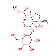 COC(=O)C1=CO[C@@H](O[C@@H]2O[C@H](CO)[C@@H](O)[C@H](O)[C@H]2O)[C@H]2[C@@H]1CC[C@]2(C)O